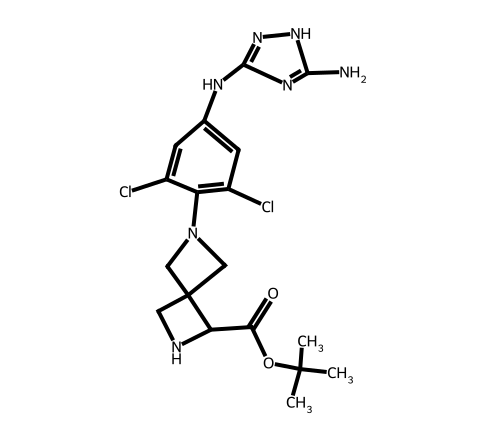 CC(C)(C)OC(=O)C1NCC12CN(c1c(Cl)cc(Nc3n[nH]c(N)n3)cc1Cl)C2